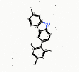 Cc1cc(C)c(-c2ccc3[nH]c4cc(C)ccc4c3c2)c(C)c1